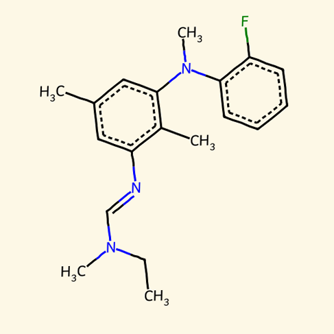 CCN(C)C=Nc1cc(C)cc(N(C)c2ccccc2F)c1C